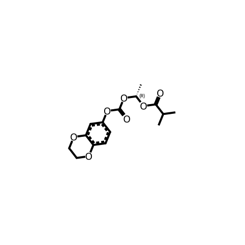 CC(C)C(=O)O[C@@H](C)OC(=O)Oc1ccc2c(c1)OCCO2